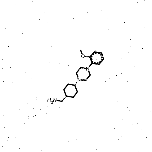 COc1ccccc1N1CCN([C@H]2CC[C@H](CN)CC2)CC1